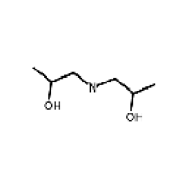 CC(O)C[N]CC(C)O